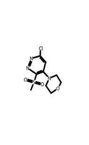 CS(=O)(=O)c1nnc(Cl)cc1N1CCOCC1